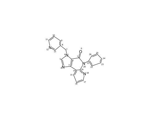 O=c1c2c(ncn2Cc2cccnc2)c2cccnc2n1-c1ccccc1